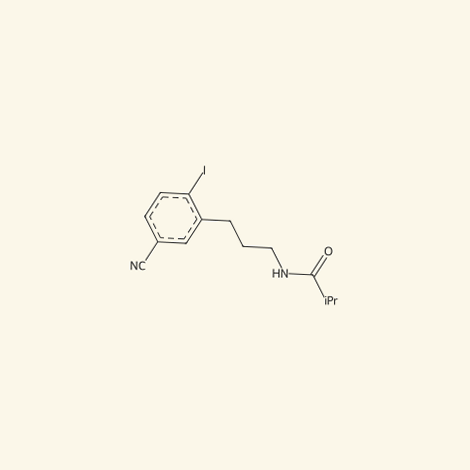 CC(C)C(=O)NCCCc1cc(C#N)ccc1I